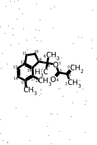 C=C(C)C(=O)OC(C)(C)C1CCc2ccc(C)c(C)c21